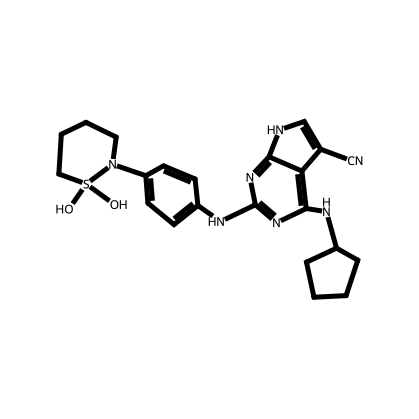 N#Cc1c[nH]c2nc(Nc3ccc(N4CCCCS4(O)O)cc3)nc(NC3CCCC3)c12